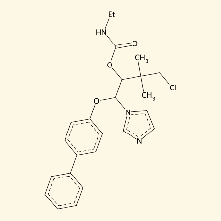 CCNC(=O)OC(C(Oc1ccc(-c2ccccc2)cc1)n1ccnc1)C(C)(C)CCl